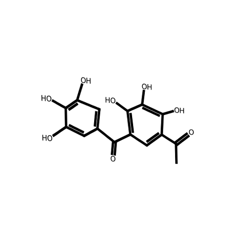 CC(=O)c1cc(C(=O)c2cc(O)c(O)c(O)c2)c(O)c(O)c1O